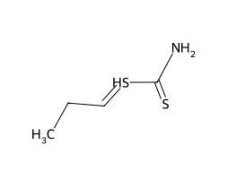 CCC=[SH]C(N)=S